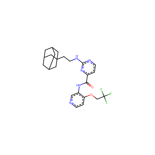 O=C(Nc1cnccc1OCC(F)(F)F)c1ccnc(NCCC23CC4CC(CC(C4)C2)C3)n1